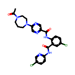 CC(=O)N1CCCN(c2cnc(C(=O)Nc3ccc(Cl)cc3C(=O)Nc3ccc(Cl)cn3)cn2)CC1